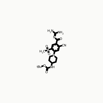 CC(C)(C)OC(=O)NC1CCN(c2cc(C#N)c(C(=O)N=C(N)N)cc2S(C)(=O)=O)CC1